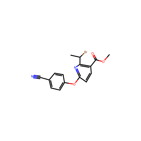 COC(=O)c1ccc(Oc2ccc(C#N)cc2)nc1C(C)Br